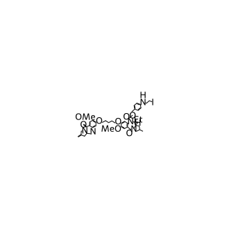 C=C1CC2C=Nc3cc(OCCCCCOc4cc5c(cc4OC)C(=O)N4CC(C)C[C@H]4[C@H](CC)N5C(=O)OCc4ccc(NCCI)cc4)c(OC)cc3C(=O)N2C1